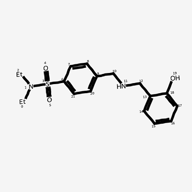 CCN(CC)S(=O)(=O)c1ccc(CNCc2ccccc2O)cc1